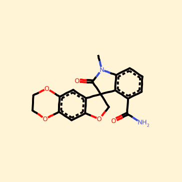 CN1C(=O)C2(COc3cc4c(cc32)OCCO4)c2c(C(N)=O)cccc21